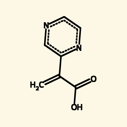 C=C(C(=O)O)c1cnccn1